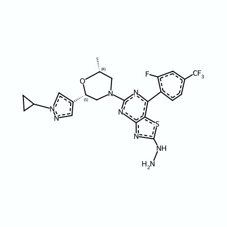 C[C@@H]1CN(c2nc(-c3ccc(C(F)(F)F)cc3F)c3sc(NN)nc3n2)C[C@H](c2cnn(C3CC3)c2)O1